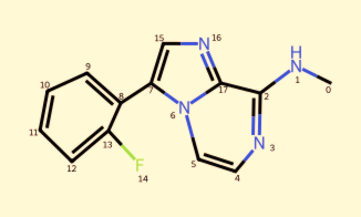 CNc1nccn2c(-c3ccccc3F)cnc12